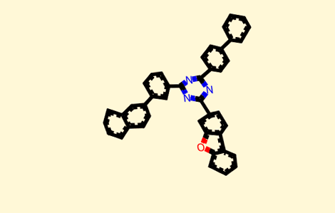 c1ccc(-c2ccc(-c3nc(-c4cccc(-c5ccc6ccccc6c5)c4)nc(-c4ccc5c(c4)oc4ccccc45)n3)cc2)cc1